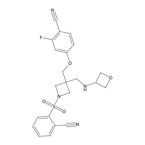 N#Cc1ccc(OCC2(CNC3COC3)CN(S(=O)(=O)c3ccccc3C#N)C2)cc1F